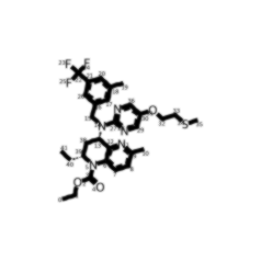 CCOC(=O)N1c2ccc(C)nc2[C@@H](N(Cc2cc(C)cc(C(F)(F)F)c2)c2ncc(OCCSC)cn2)C[C@H]1CC